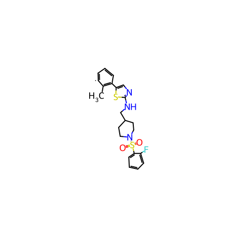 Cc1[c]cccc1-c1cnc(NCC2CCN(S(=O)(=O)c3ccccc3F)CC2)s1